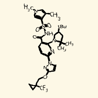 Cc1cn(C)cc1S(=O)(=O)NC(=O)c1ccc(-n2ccc(OCC3(C(F)(F)F)CC3)n2)nc1N1CC(C(C)(C)C)CC1(C)C